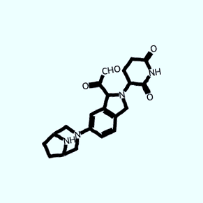 O=CC(=O)C1c2cc(N3CC4CCC(C3)N4)ccc2CN1C1CCC(=O)NC1=O